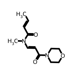 C/C=C/C(=O)N(C)/C=C/C(=O)N1CCOCC1